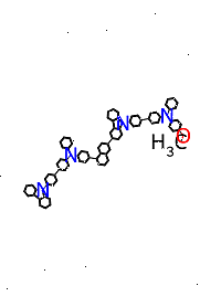 COc1ccc(N(c2ccccc2)c2ccc(-c3ccc(-n4c5ccccc5c5cc(-c6ccc7c(-c8ccc(N(c9ccccc9)c9ccc(-c%10ccc(-n%11c%12ccccc%12c%12ccccc%12%11)cc%10)cc9)cc8)cccc7c6)ccc54)cc3)cc2)cc1